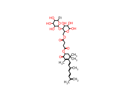 C=C(C)/C=C/C=C(C)/C=C/C1=C(C)C(=O)C(OC(=O)CCC(=O)OCC2OC(O)C(O)C(O)C2OC2OC(CC)C(O)C(O)C2O)CC1(C)C